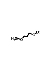 CCOCCCO[SiH3]